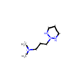 CN(C)CCCN1NCCCN1